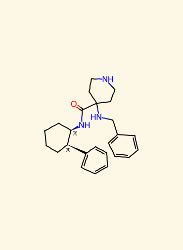 O=C(N[C@@H]1CCCC[C@@H]1c1ccccc1)C1(NCc2ccccc2)CCNCC1